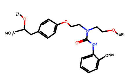 CCCCOCCN(CCOc1ccc(CC(OCC)C(=O)O)cc1)C(=O)Nc1ccccc1OC